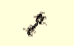 CC[C@H](NC(=O)[C@@H]1C[C@@H](O)CN1C(=O)[C@@H](NC(=O)CN1CCC(CN2CCN(c3ccc(C(=O)N[C@H]4C(C)(C)[C@H](Oc5ccc(C#N)c(Cl)c5)C4(C)C)cn3)CC2)CC1)C(C)(C)C)c1ccc(-c2scnc2C)cc1